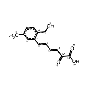 Cc1ccc(CO)c(/C=C/C=C/C(=O)C(=O)O)c1